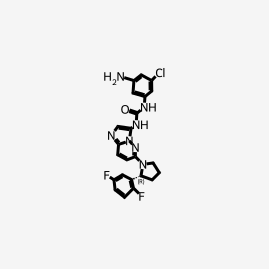 Nc1cc(Cl)cc(NC(=O)Nc2cnc3ccc(N4CCC[C@@H]4c4cc(F)ccc4F)nn23)c1